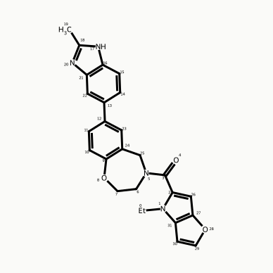 CCn1c(C(=O)N2CCOc3ccc(-c4ccc5[nH]c(C)nc5c4)cc3C2)cc2occc21